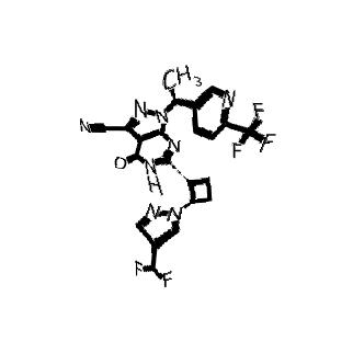 C[C@@H](c1ccc(C(F)(F)F)nc1)n1nc(C#N)c2c(=O)[nH]c([C@@H]3CC[C@H]3n3cc(C(F)F)cn3)nc21